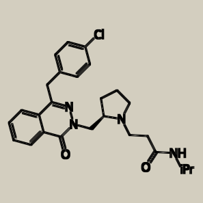 CC(C)NC(=O)CCN1CCC[C@@H]1Cn1nc(Cc2ccc(Cl)cc2)c2ccccc2c1=O